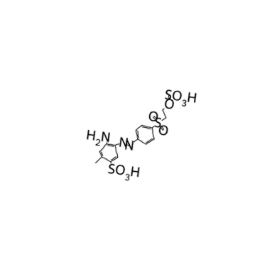 Cc1cc(N)c(N=Nc2ccc(S(=O)(=O)CCOS(=O)(=O)O)cc2)cc1S(=O)(=O)O